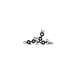 Cc1cc(Cl)ccc1-c1ccc(NC(=O)[C@H](Cc2ccc(C(=O)OC(C)(C)C)cc2)c2ccc(C3=CCC(F)(F)CC3)cc2)c(F)c1